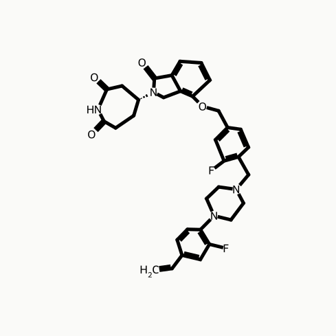 C=Cc1ccc(N2CCN(Cc3ccc(COc4cccc5c4CN([C@@H]4CCC(=O)NC(=O)C4)C5=O)cc3F)CC2)c(F)c1